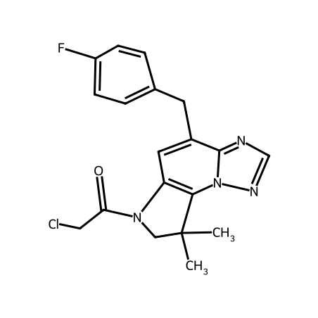 CC1(C)CN(C(=O)CCl)c2cc(Cc3ccc(F)cc3)c3ncnn3c21